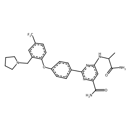 CC(Nc1cc(C(N)=O)nc(-c2ccc(Oc3ccc(C(F)(F)F)cc3CN3CCCC3)cc2)n1)C(N)=O